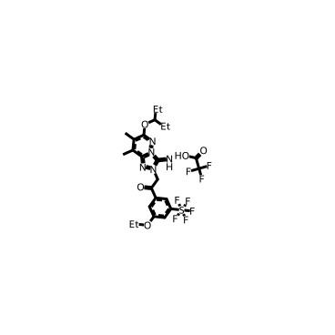 CCOc1cc(C(=O)Cn2nc3c(C)c(C)c(OC(CC)CC)nn3c2=N)cc(S(F)(F)(F)(F)F)c1.O=C(O)C(F)(F)F